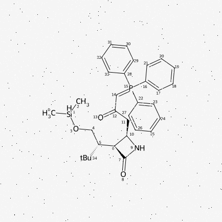 C[SiH](C)OC[C@H]([C@@H]1C(=O)N[C@@H]1CC(=O)C=P(c1ccccc1)(c1ccccc1)c1ccccc1)C(C)(C)C